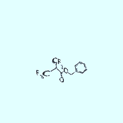 O=C(OCc1ccccc1)C(C(F)(F)F)C(F)(F)F